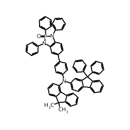 CC1(C)c2ccccc2-c2c(N(c3ccc(-c4ccc5c(c4)N(c4ccccc4)P(=O)(c4ccccc4)N5c4ccccc4)cc3)c3ccc4c(c3)C(c3ccccc3)(c3ccccc3)c3ccccc3-4)cccc21